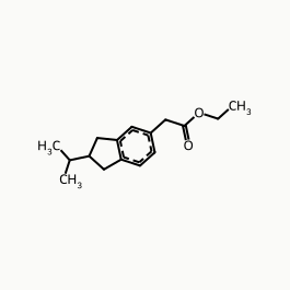 CCOC(=O)Cc1ccc2c(c1)CC(C(C)C)C2